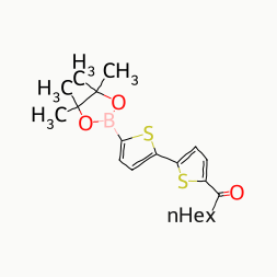 CCCCCCC(=O)c1ccc(-c2ccc(B3OC(C)(C)C(C)(C)O3)s2)s1